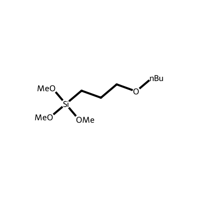 CCCCOCCC[Si](OC)(OC)OC